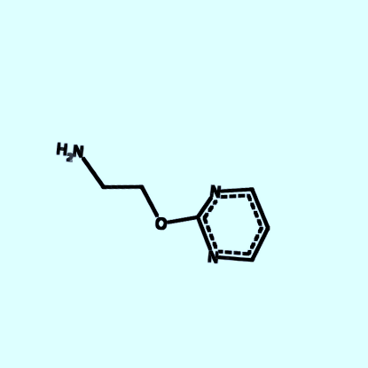 NCCOc1ncccn1